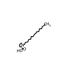 CCCCCCCCCCCCCCCCN1CCC[C@H]1C(=O)O